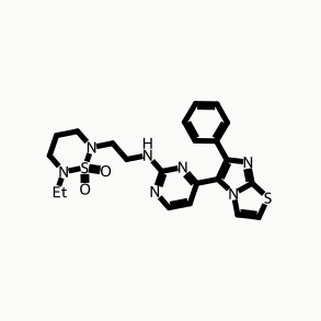 CCN1CCCN(CCNc2nccc(-c3c(-c4ccccc4)nc4sccn34)n2)S1(=O)=O